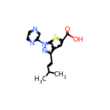 CC(C)C=Cc1nn(-c2cnccn2)c2sc(C(=O)O)cc12